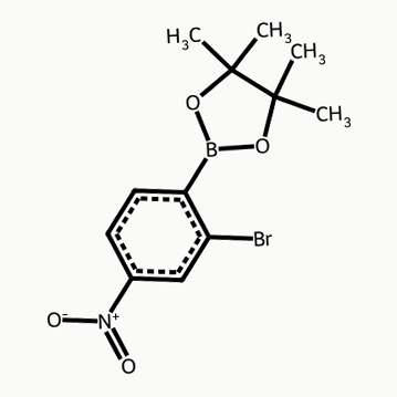 CC1(C)OB(c2ccc([N+](=O)[O-])cc2Br)OC1(C)C